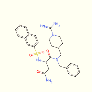 N=C(N)N1CCC(CN(Cc2ccccc2)C(=O)C(CC(N)=O)NS(=O)(=O)c2ccc3ccccc3c2)CC1